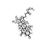 COC(=O)CCC(=O)O[C@]1(C(=O)CF)[C@@H](C)C[C@H]2[C@@H]3CC(=O)C4=CC(=O)C=C[C@]4(C)[C@@]3(F)[C@@H](O)C[C@@]21C